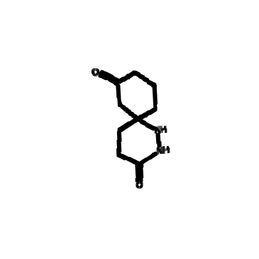 O=C1CCCC2(CCC(=O)NN2)C1